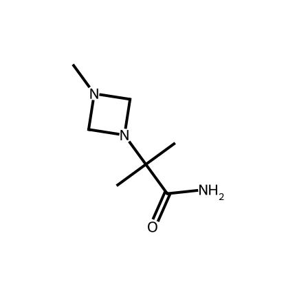 CN1CN(C(C)(C)C(N)=O)C1